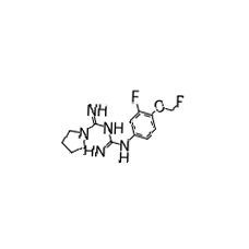 N=C(NC(=N)N1CCCC1)Nc1ccc(OCF)c(F)c1